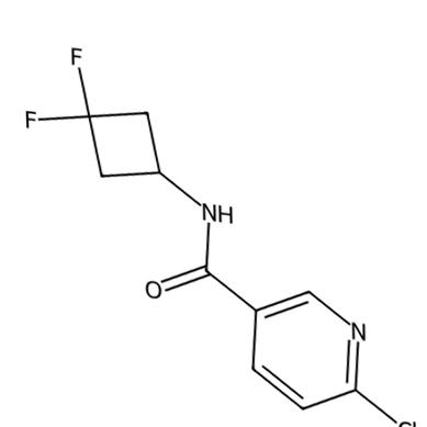 O=C(NC1CC(F)(F)C1)c1ccc(Cl)nc1